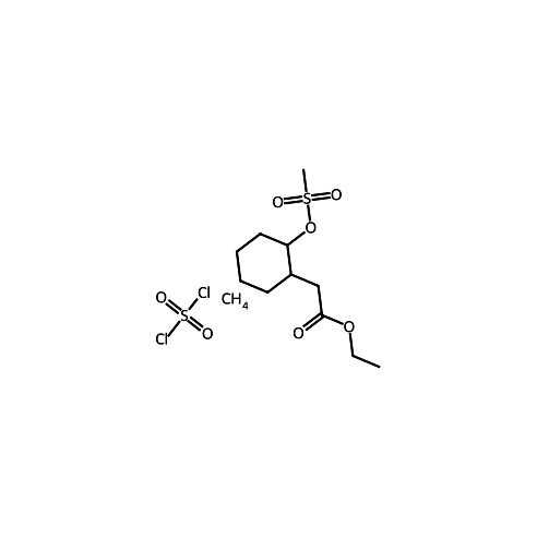 C.CCOC(=O)CC1CCCCC1OS(C)(=O)=O.O=S(=O)(Cl)Cl